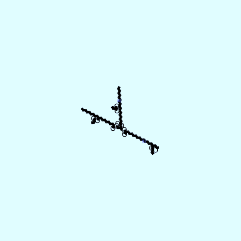 C=CC(=O)OC(CCC)CCC/C=C/CCCCCCCCC(=O)OCC(COC(=O)CCCCCCCC(CCCCCCCCC)OC(=O)C=C)OC(=O)CCCCCC(CCC/C=C/CCCCCC)OC(=O)C=C